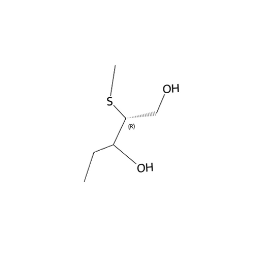 CCC(O)[C@@H](CO)SC